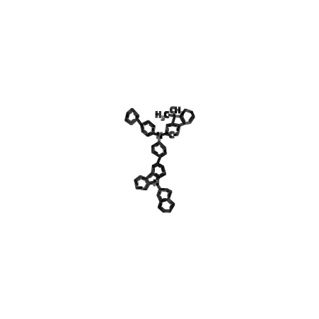 CC1(C)C2=C(C=CCC2)c2ccc(N(c3ccc(-c4ccccc4)cc3)c3ccc(-c4ccc5c(c4)c4ccccc4n5-c4ccc5ccccc5c4)cc3)cc21